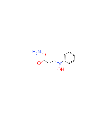 NOC(=O)CCN(O)c1ccccc1